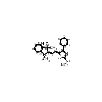 CN1/C(=C/C=C2\S/C(=N\C#N)N=C2c2ccccc2)C(C)(C)c2ccccc21